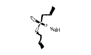 C=CCOS(=O)(=O)CC=C.[NaH]